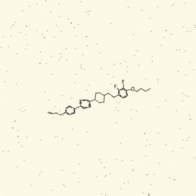 C=CCCc1ccc(-c2ccc(C3CCC(CCc4ccc(OCCCC)c(F)c4F)CC3)cc2)cc1